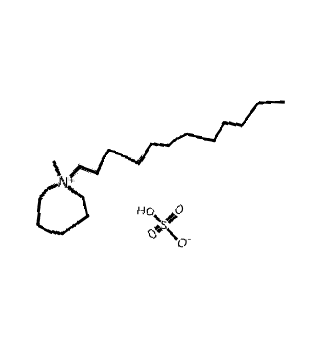 CCCCCCCCCCCC[N+]1(C)CCCCC1.O=S(=O)([O-])O